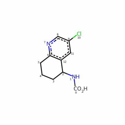 O=C(O)NC1CCCc2ncc(Cl)cc21